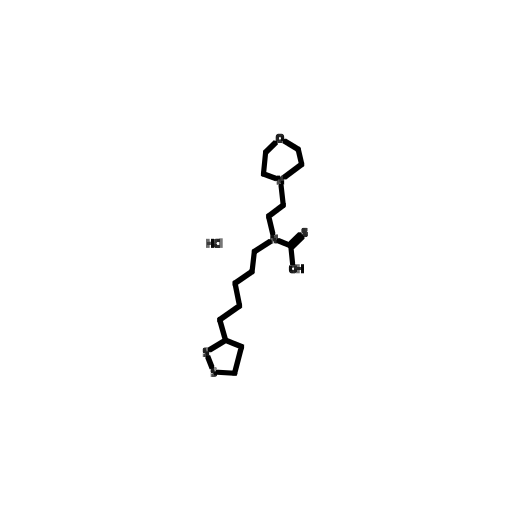 Cl.OC(=S)N(CCCCCC1CCSS1)CCN1CCOCC1